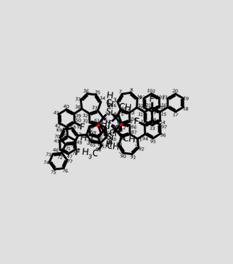 CCC1=CC2=C(C=CC=CC2c2cccc(-c3ccccc3)c2F)[C]12[SiH](C)[C]1(C(CC)=CC3=C1C=CC=CC3c1cccc(-c3ccccc3)c1F)[Hf]21([Cl])([Cl])[C]2(C(CC)=CC3=C2C=CC=CC3c2cccc(-c3ccccc3)c2F)[SiH](C)[C]12C(CC)=CC1=C2C=CC=CC1c1cccc(-c2ccccc2)c1F